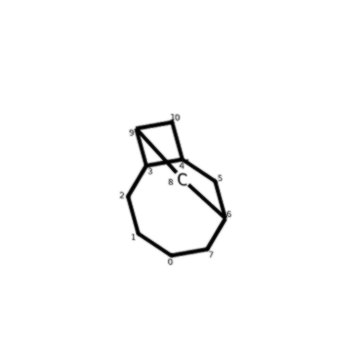 C1CCC2[C]3CC(C1)CC2C3